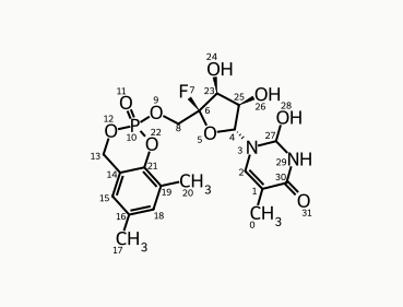 CC1=CN([C@@H]2O[C@](F)(COP3(=O)OCc4cc(C)cc(C)c4O3)[C@@H](O)[C@H]2O)C(O)NC1=O